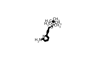 CC(C)(C)[Si](C)(C)OCC#Cc1cccc(N)n1